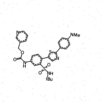 CNc1ccc(-c2ncc(-c3ccc(NC(=O)OCc4cccnc4)cc3S(=O)(=O)NC(C)(C)C)s2)cc1